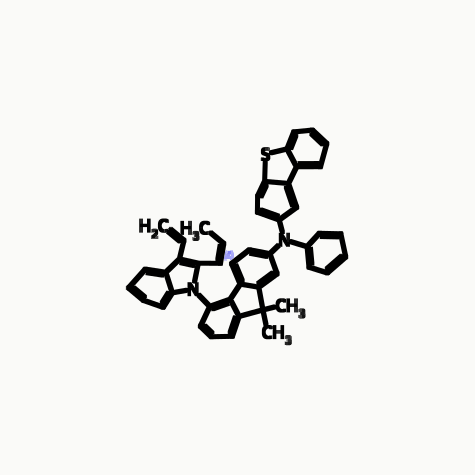 C=Cc1c(/C=C\C)n(-c2cccc3c2-c2ccc(N(c4ccccc4)c4ccc5sc6ccccc6c5c4)cc2C3(C)C)c2ccccc12